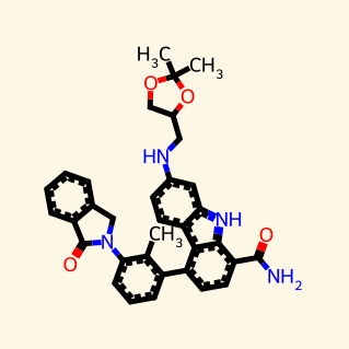 Cc1c(-c2ccc(C(N)=O)c3[nH]c4cc(NCC5COC(C)(C)O5)ccc4c23)cccc1N1Cc2ccccc2C1=O